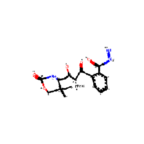 CCCCC[C@@H](C(=O)c1ccccc1C(=O)N=N)C(O)C1NC(=O)OCC1(C)C